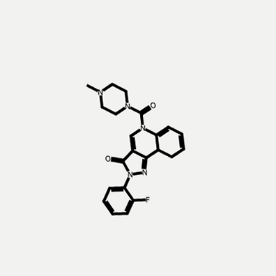 CN1CCN(C(=O)N2C=C3C(=O)N(c4ccccc4F)N=C3C3CC=CC=C32)CC1